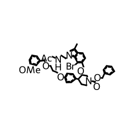 COc1ccccc1COCCCOc1ccc(C2CCN(C(=O)OCc3ccccc3)CC2OCc2ccc3c(C)cn(CCNCC(C)=O)c3c2Br)cc1